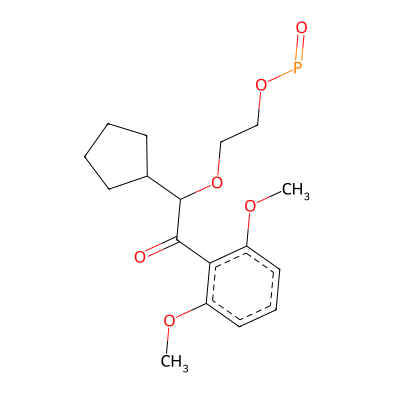 COc1cccc(OC)c1C(=O)C(OCCOP=O)C1CCCC1